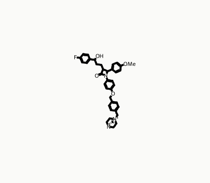 COc1ccc(C2C(CCC(O)c3ccc(F)cc3)C(=O)N2c2ccc(OCc3ccc(C[N+]45CCN(CC4)CC5)cc3)cc2)cc1